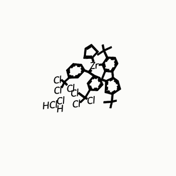 CC(C)(C)c1ccc2c(c1)Cc1c-2ccc(C(C)(C)C)[c]1[Zr]([C]1=CC=CC1)=[C](c1cccc(C(Cl)(Cl)Cl)c1)c1cccc(C(Cl)(Cl)Cl)c1.Cl.Cl